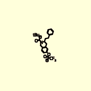 CC(C)(C)OC(=O)N1Cc2ccc(OS(=O)(=O)C(F)(F)F)cc2CC1CCc1ccccc1